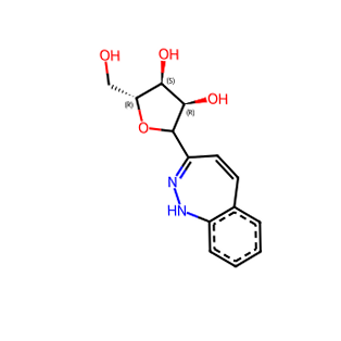 OC[C@H]1OC(C2=NNc3ccccc3C=C2)[C@H](O)[C@@H]1O